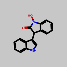 O=C1C(c2c[nH]c3ccccc23)c2ccccc2N1O